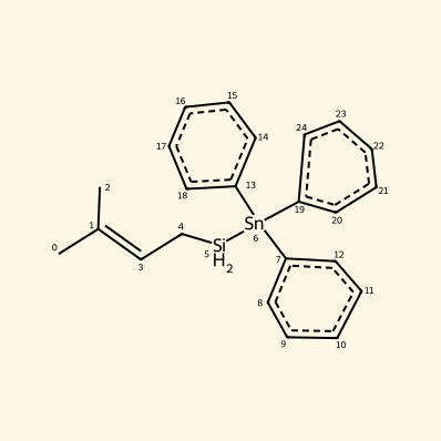 CC(C)=CC[SiH2][Sn]([c]1ccccc1)([c]1ccccc1)[c]1ccccc1